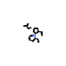 C=CC(=C)C.C=Cc1ccccc1.C=Cc1ccccn1